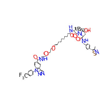 Cc1ncsc1-c1ccc(CNC(=O)C2CC(O)CN2C(=O)[C@@H](NC(=O)CCCCCCCCCOCCOCCNC(=O)c2ccc3c(c2)c2cn(C)nc2n3-c2ccc(C(F)(F)F)cc2)C(C)(C)C)cc1